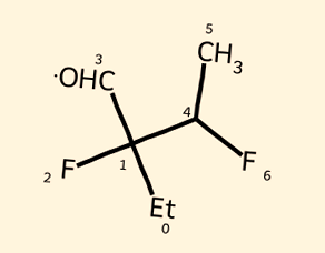 CCC(F)([C]=O)C(C)F